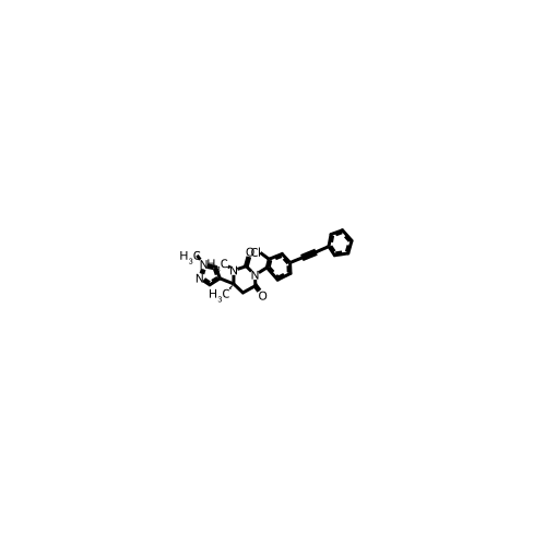 CN1C(=O)N(c2ccc(C#Cc3ccccc3)cc2Cl)C(=O)C[C@@]1(C)c1cnn(C)c1